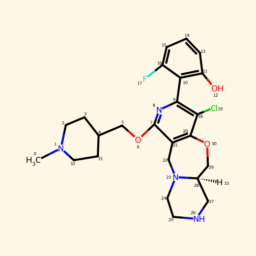 CN1CCC(COc2nc(-c3c(O)cccc3F)c(Cl)c3c2CN2CCNC[C@@H]2CO3)CC1